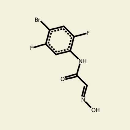 O=C(/C=N/O)Nc1cc(F)c(Br)cc1F